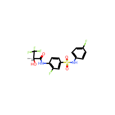 C[C@@](O)(C(=O)Nc1ccc(S(=O)(=O)Nc2ccc(F)cc2)cc1F)C(F)(F)F